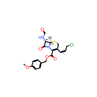 COc1ccc(COC(=O)C2=C(/C=C\CCl)CS[C@@H]3[C@H](NC=O)C(=O)N23)cc1